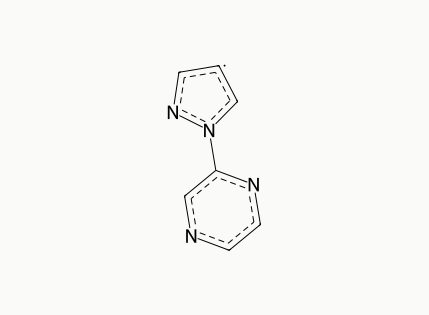 [c]1cnn(-c2cnccn2)c1